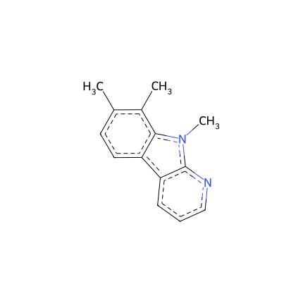 Cc1ccc2c3cccnc3n(C)c2c1C